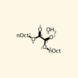 CCCCCCCCOC(=O)C(=O)OCCCCCCCC.O